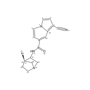 N#Cc1ccn2ccc(C(=O)NC3CN4CC[C@H]3C4)cc12